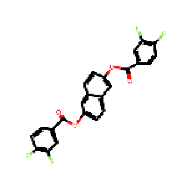 O=C(Oc1ccc2cc(OC(=O)c3ccc(F)c(F)c3)ccc2c1)c1ccc(F)c(F)c1